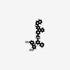 CC(C)(C)c1ccc2c(c1)c1cc(C(C)(C)C)ccc1n2-c1cc(-c2ccccc2)cc(-c2ncc(-c3ccc4c(c3)c3ccccc3c3cc5c(cc43)sc3ccc4ccccc4c35)cn2)c1